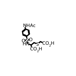 CC(=O)Nc1ccc(S(=O)(=O)NC(CSCC(=O)O)C(=O)O)cc1